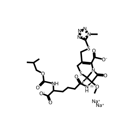 CO[C@@]1(NC(=O)CCCC(NC(=O)OCC(C)C)C(=O)[O-])C(=O)N2C(C(=O)[O-])=C(CSc3nnnn3C)CS[C@H]21.[Na+].[Na+]